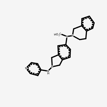 O=C(O)N(c1ccc2c(c1)CN(Nc1ccncc1)C2)N1CCc2ccccc2C1